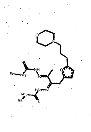 C=C(NCC)N/N=C(C)/C(Cc1ccc(CCCN2CCOCC2)o1)=N\NC(=S)NCC